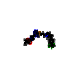 Cn1c(SCCCN2CCC3(CC3c3ccc(C(F)(F)F)cc3)C2)nnc1C1CN(C(=O)OC(C)(C)C)C1